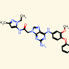 CCn1nc(C)cc1NC(=O)Cn1cnc2c(Nc3ccc(Oc4ccccc4)c(OC)c3)nc(N)nc21